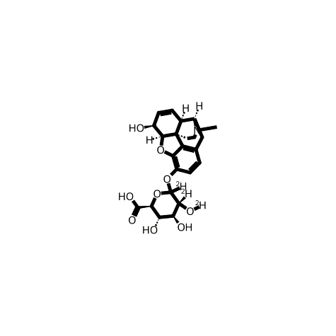 [2H]O[C@]1([2H])[C@@H](O)[C@H](O)[C@@H](C(=O)O)OC1([2H])Oc1ccc2c3c1O[C@H]1[C@@H](O)C=C[C@H]4[C@@H](C2)N(C)CC[C@@]341